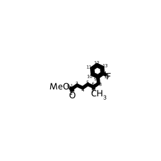 COC(=O)CCCC(C)Cc1ccccc1F